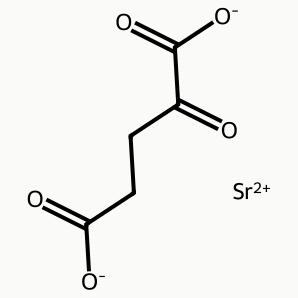 O=C([O-])CCC(=O)C(=O)[O-].[Sr+2]